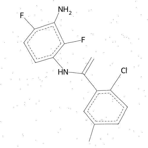 C=C(Nc1ccc(F)c(N)c1F)c1cc(C)ccc1Cl